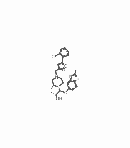 Cc1nc2cc(OC([C@@H](C)O)N3CCN(Cc4cc(-c5ccccc5Cl)on4)C[C@@H]3C)ccc2s1